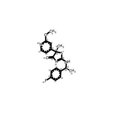 COc1cc([C@]2(C)SC(N[C@@H](C)c3ccc(F)cc3)=NC2=O)ccn1